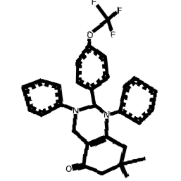 CC1(C)CC(=O)C2=C(C1)N(c1ccccc1)C(c1ccc(OC(F)(F)F)cc1)N(c1ccccc1)C2